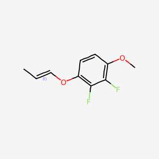 C/C=C/Oc1ccc(OC)c(F)c1F